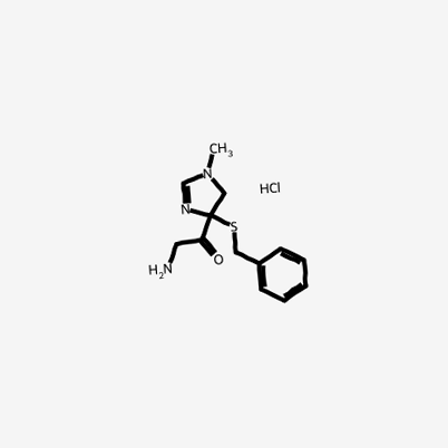 CN1C=NC(SCc2ccccc2)(C(=O)CN)C1.Cl